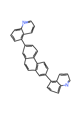 c1cc(-c2ccc3c(ccc4cc(-c5cccc6ncccc56)ccc43)c2)c2cccnc2c1